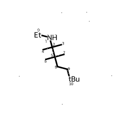 CCNC(C)(C)C(C)(C)CCC(C)(C)C